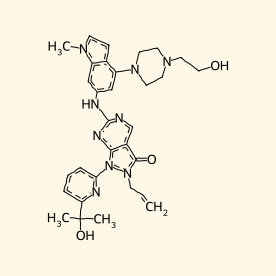 C=CCn1c(=O)c2cnc(Nc3cc(N4CCN(CCO)CC4)c4ccn(C)c4c3)nc2n1-c1cccc(C(C)(C)O)n1